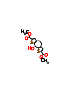 COC(=O)c1cc2c(s1)C(O)c1sc(C(=O)OC)cc1CC2